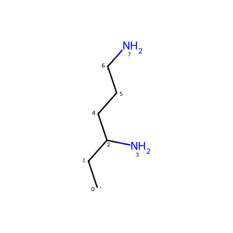 [CH2]CC(N)CC[CH]N